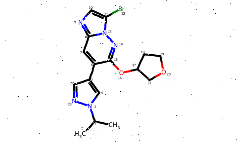 CC(C)n1cc(-c2cc3ncc(Br)n3nc2OC2CCOC2)cn1